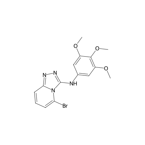 COc1cc(Nc2nnc3cccc(Br)n23)cc(OC)c1OC